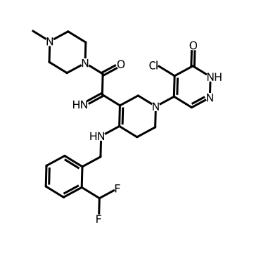 CN1CCN(C(=O)C(=N)C2=C(NCc3ccccc3C(F)F)CCN(c3cn[nH]c(=O)c3Cl)C2)CC1